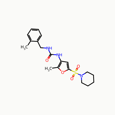 Cc1ccccc1CNC(=O)Nc1cc(S(=O)(=O)N2CCCCC2)oc1C